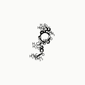 CCn1c(-c2cccnc2[C@H](C)OC)c2c3cc(ccc31)-c1csc(n1)C[C@H](NC(=O)[C@H](C(C)C)N1CCC3(CCN(C(=O)C#CC(C)(C)N(C)C)CC3)C1=O)C(=O)N1CCC[C@H](N1)C(=O)OCC(C)(C)C2